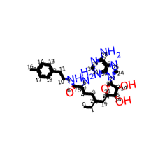 CC[C@@H](CC[C@H](N)C(=O)NCCc1ccc(C)cc1)C[C@H]1O[C@@H](n2cnc3c(N)ncnc32)[C@@H](O)C1O